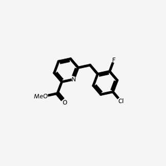 COC(=O)c1cccc(Cc2ccc(Cl)cc2F)n1